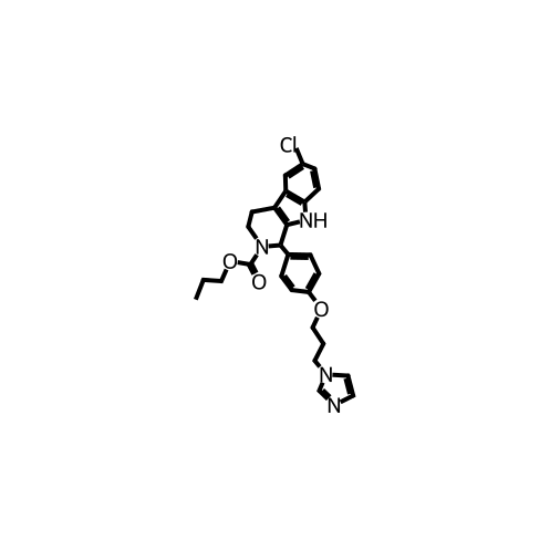 CCCOC(=O)N1CCc2c([nH]c3ccc(Cl)cc23)C1c1ccc(OCCCn2ccnc2)cc1